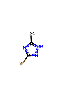 CC(=O)c1nc(Br)n[nH]1